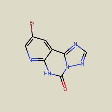 O=c1[nH]c2ncc(Br)cc2c2ncnn12